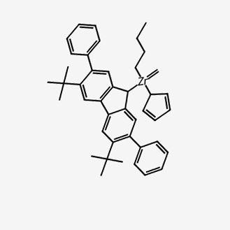 [CH2]=[Zr]([CH2]CCC)([CH]1C=CC=C1)[CH]1c2cc(-c3ccccc3)c(C(C)(C)C)cc2-c2cc(C(C)(C)C)c(-c3ccccc3)cc21